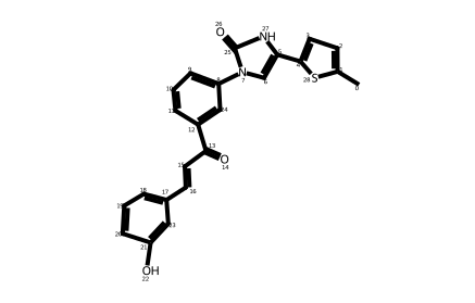 Cc1ccc(-c2cn(-c3cccc(C(=O)C=Cc4cccc(O)c4)c3)c(=O)[nH]2)s1